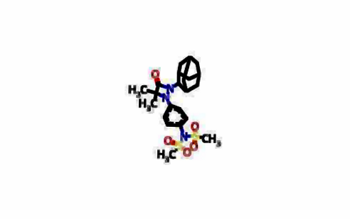 CC1(C)C(=O)N(C2C3CC4CC(C3)CC2C4)N1c1ccc(N(S(C)(=O)=O)S(C)(=O)=O)cc1